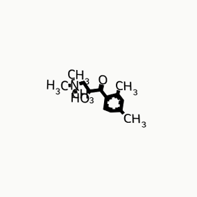 Cc1ccc(C(=O)C(O)C[N+](C)(C)C)c(C)c1